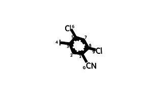 N#Cc1cc(I)c(Cl)cc1Cl